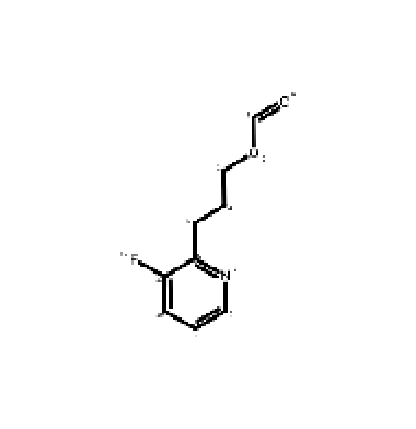 O=COCCCc1ncccc1F